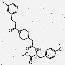 COC(=O)[C@H](Cc1ccc(Cl)cc1)NC(=O)CC1CCN(C(=O)CCc2cccc(F)c2)CC1